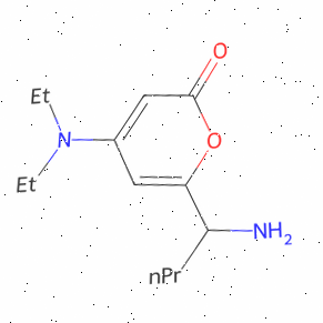 CCCC(N)c1cc(N(CC)CC)cc(=O)o1